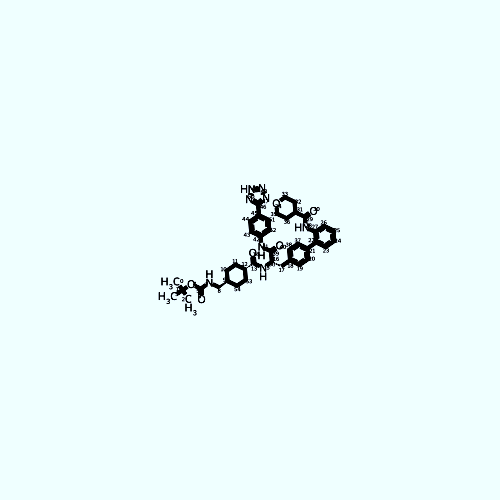 CC(C)(C)OC(=O)NC[C@H]1CC[C@H](C(=O)N[C@@H](Cc2ccc(-c3ccccc3NC(=O)C3CCOCC3)cc2)C(=O)Nc2ccc(-c3nn[nH]n3)cc2)CC1